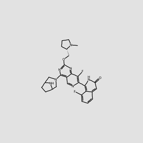 CN1CCC[C@H]1COc1nc(N2CC3CCC(C2)N3)c2cnc(-c3[nH]c(=O)cc4cccc(F)c34)c(F)c2n1